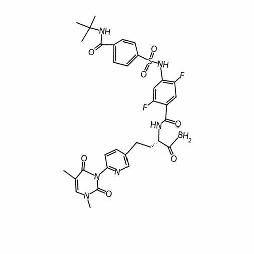 BC(=O)[C@H](CCc1ccc(-n2c(=O)c(C)cn(C)c2=O)nc1)NC(=O)c1cc(F)c(NS(=O)(=O)c2ccc(C(=O)NC(C)(C)C)cc2)cc1F